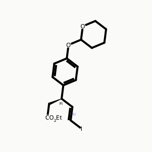 CCOC(=O)C[C@H](/C=C/I)c1ccc(OC2CCCCO2)cc1